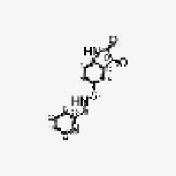 O=C1Nc2ccc(SNCc3ccccn3)cc2C1=O